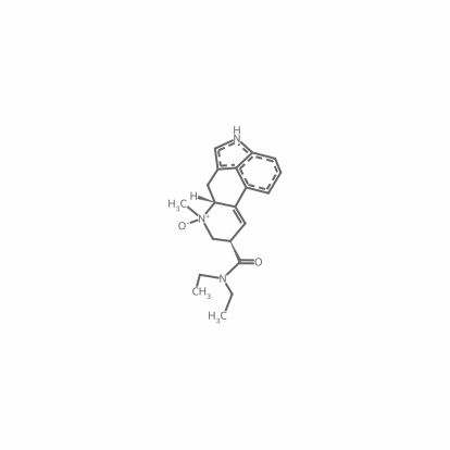 CCN(CC)C(=O)[C@@H]1C=C2c3cccc4[nH]cc(c34)C[C@H]2[N+](C)([O-])C1